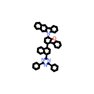 c1ccc(-c2nc(-c3ccccc3)nc(-c3ccc(-c4ccc(-n5c6ccccc6c6cc7ccccc7cc65)c5oc6ccccc6c45)c4ccccc34)n2)cc1